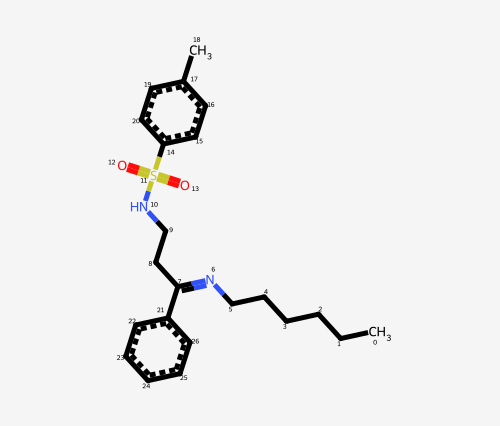 CCCCCCN=C(CCNS(=O)(=O)c1ccc(C)cc1)c1ccccc1